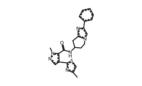 Cc1csc(-c2cnn(C)c2C(=O)NC2CCn3cc(-c4ccccc4)nc3C2)n1